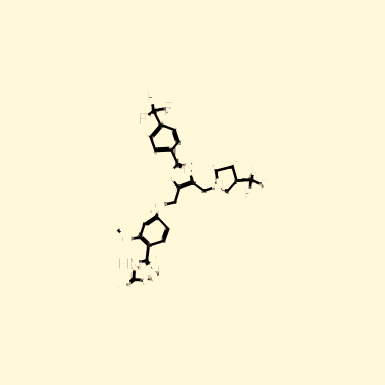 COc1cc(OCc2sc(-c3ccc(C(F)(F)F)cc3)nc2CN2CCC(C(F)(F)F)C2)ccc1-c1noc(=O)[nH]1